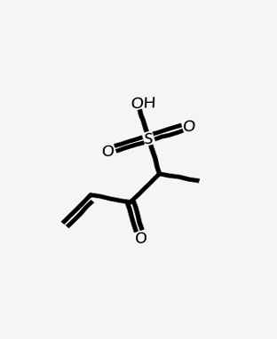 C=CC(=O)C(C)S(=O)(=O)O